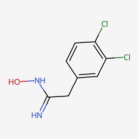 N=C(Cc1ccc(Cl)c(Cl)c1)NO